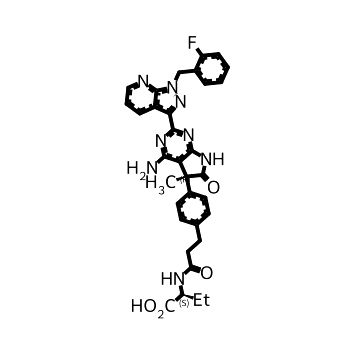 CC[C@H](NC(=O)CCc1ccc([C@@]2(C)C(=O)Nc3nc(-c4nn(Cc5ccccc5F)c5ncccc45)nc(N)c32)cc1)C(=O)O